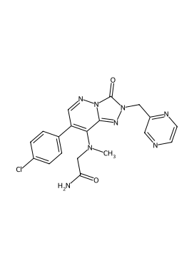 CN(CC(N)=O)c1c(-c2ccc(Cl)cc2)cnn2c(=O)n(Cc3cnccn3)nc12